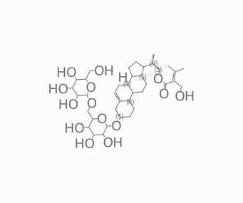 CC1=C(CO)C(=O)O[C@H]([C@H](C)C2CCC3[C@@H]4CC=C5C[C@@H](OC6OC(COC7OC(CO)C(O)C(O)C7O)C(O)C(O)C6O)CC[C@]5(C)C4CC[C@@]32C)C1